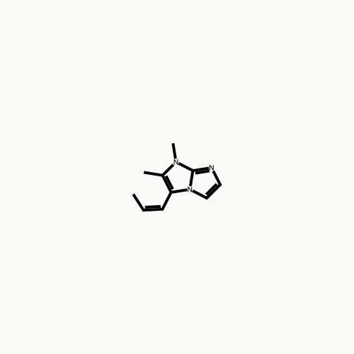 C/C=C\c1c(C)n(C)c2nccn12